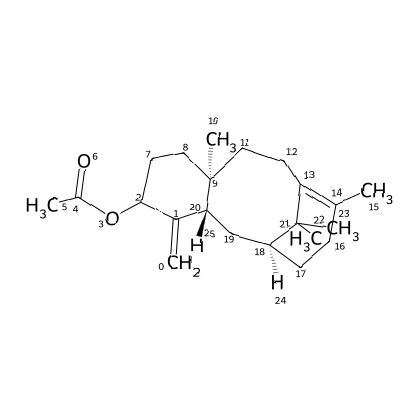 C=C1C(OC(C)=O)CC[C@@]2(C)CCC3=C(C)CC[C@@H](C[C@H]12)C3(C)C